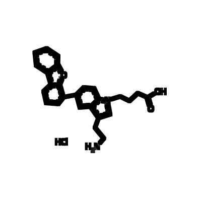 Cl.NCCc1cn(CCCC(=O)O)c2ccc(-c3cccc4c3oc3ccccc34)cc12